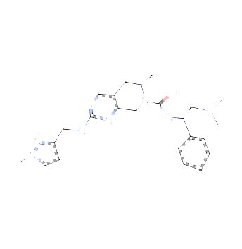 C[C@@H]1Cc2cnc(NCc3ccn(C)n3)nc2CN1C(=O)N[C@@H](CN(C)C)c1ccccc1